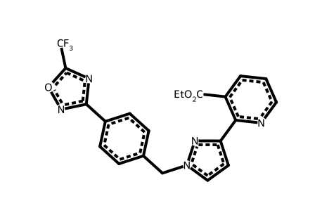 CCOC(=O)c1cccnc1-c1ccn(Cc2ccc(-c3noc(C(F)(F)F)n3)cc2)n1